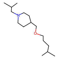 CC(C)CCCOCC1CCN(CC(C)C)CC1